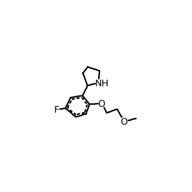 COCCOc1ccc(F)cc1C1CCCN1